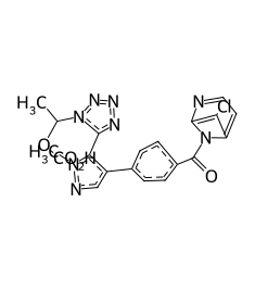 CC(OC(=O)O)n1nnnc1-c1c(-c2ccc(C(=O)N3C4=CC=NC3=C4Cl)cc2)cnn1C